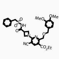 CCOC(=O)c1cc(C#N)c(N2CC(C(=O)NS(=O)(=O)Cc3ccccc3)C2)nc1COCc1ccc(OC)c(OC)c1